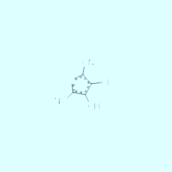 Cc1c(C#N)sc(C#N)c1C